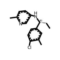 CC[C@@H](Nc1ccc(C)nc1)c1ccc(Cl)c(C)c1